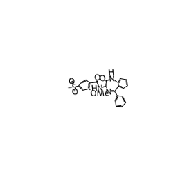 COc1cc(S(C)(=O)=O)ccc1C(=O)NC1N=C(c2ccccc2)c2ccccc2NC1=O